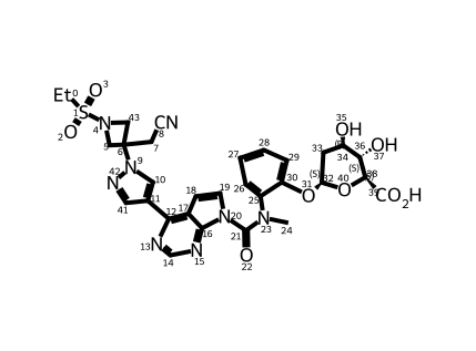 CCS(=O)(=O)N1CC(CC#N)(n2cc(-c3ncnc4c3ccn4C(=O)N(C)c3ccccc3O[C@H]3C[C@@H](O)[C@H](O)[C@@H](C(=O)O)O3)cn2)C1